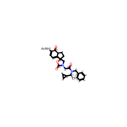 CC(=O)NC1=CC=C2C(CCC23CN(CC(=O)N(Cc2ccccc2)[C@@H](C)C2CC2)C(=O)O3)C1=O